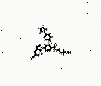 CC(C)(O)[C@H](F)CNC(=O)c1cnc(-n2ccc3cc(C#N)cnc32)cc1Nc1ccc(-n2cccn2)cc1